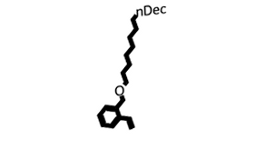 C=Cc1ccccc1COCCCCCCCCCCCCCCCCCC